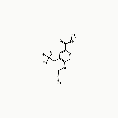 [2H]C([2H])([2H])Oc1cc(C(=O)NC)ccc1NCC#C